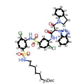 CCCCCCCCCCCCCCCCNS(=O)(=O)c1ccc(Cl)c(NS(=O)(=O)c2ccc(Cl)c(NC(=O)C(C(=O)N3CCc4ccccc43)n3nnc4ccccc43)c2)c1